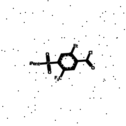 CCCC(C)S(=O)(=O)c1cc(CC)c(C(=O)Cl)cc1C(F)(F)F